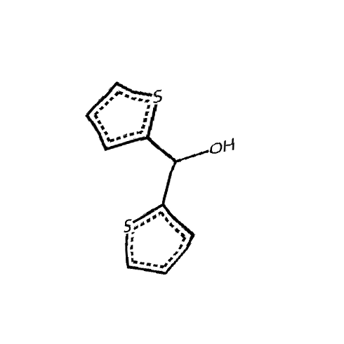 O[C](c1cccs1)c1cccs1